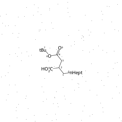 CCCCCCCCC(CC(=O)OC(C)(C)C)C(=O)O